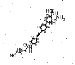 N#CCCNCC(=O)Nc1ccc(C#Cc2ccc(C(=O)N[C@@H](CN)C(=O)NO)cc2)cc1